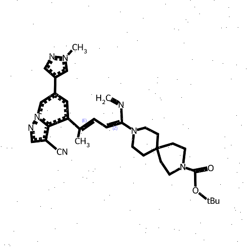 C=N/C(=C\C=C(/C)c1cc(-c2cnn(C)c2)cn2ncc(C#N)c12)N1CCC2(CCN(C(=O)OC(C)(C)C)CC2)CC1